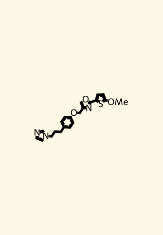 COc1ccc(-c2nc(COc3ccc(CCCn4ccnc4)cc3)co2)s1